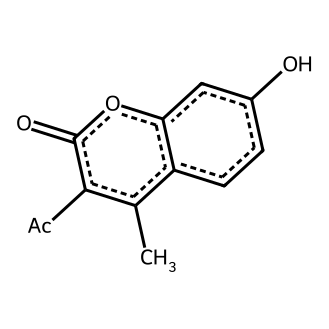 CC(=O)c1c(C)c2ccc(O)cc2oc1=O